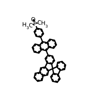 CP(C)(=O)c1ccc(-c2c3ccccc3c(-c3ccc4c(c3)-c3cc5ccccc5cc3C43c4ccccc4-c4ccccc43)c3ccccc23)cc1